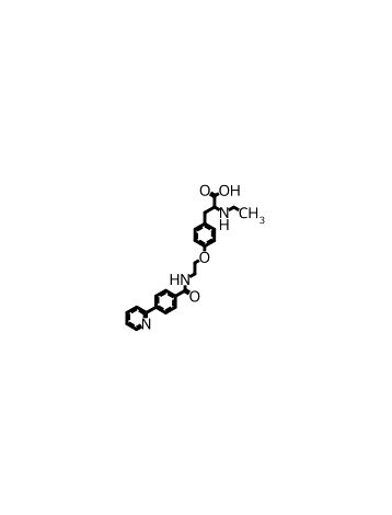 CCNC(Cc1ccc(OCCNC(=O)c2ccc(-c3ccccn3)cc2)cc1)C(=O)O